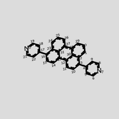 c1cc2c(-c3ccncc3)ccc3c4ccc(-c5ccncc5)c5cccc(c(c1)c23)c54